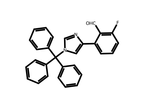 O=Cc1c(F)cccc1-c1cn(C(c2ccccc2)(c2ccccc2)c2ccccc2)cn1